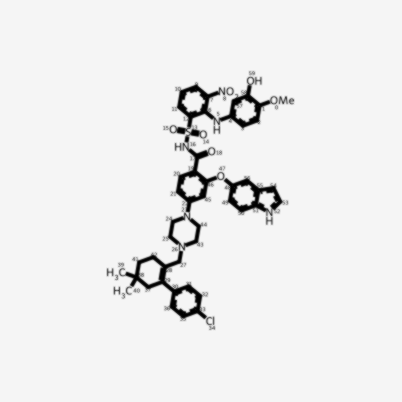 COc1ccc(Nc2c([N+](=O)[O-])cccc2S(=O)(=O)NC(=O)c2ccc(N3CCN(CC4=C(c5ccc(Cl)cc5)CC(C)(C)CC4)CC3)cc2Oc2ccc3[nH]ccc3c2)cc1O